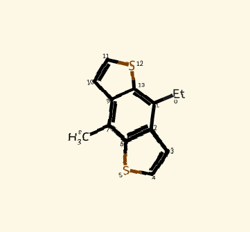 CCc1c2ccsc2c(C)c2ccsc12